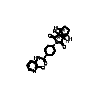 O=C1[C@@H]2[C@@H]3CC[C@@H](C3)[C@@H]2C(=O)N1[C@H]1CC[C@H](C(=O)Nc2cccnc2Cl)CC1